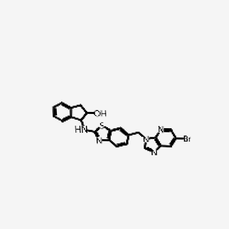 OC1Cc2ccccc2C1Nc1nc2ccc(Cn3cnc4cc(Br)cnc43)cc2s1